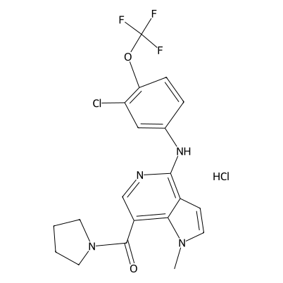 Cl.Cn1ccc2c(Nc3ccc(OC(F)(F)F)c(Cl)c3)ncc(C(=O)N3CCCC3)c21